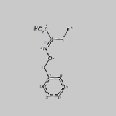 O=C(O)/C(CF)=N/OCc1ccccc1